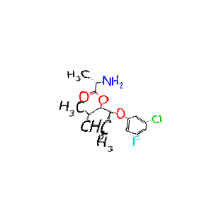 CC(C)[C@@H](OC(=O)[C@H](C)N)[C@H](C)Oc1cc(F)cc(Cl)c1